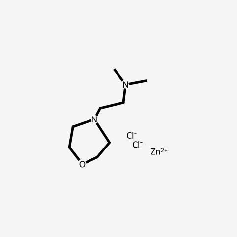 CN(C)CCN1CCOCC1.[Cl-].[Cl-].[Zn+2]